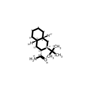 CC(C)(C)N1C[C@H]2CCCC[C@H]2C[C@H]1C(N)=O